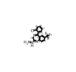 NNC1=Nc2ccc(C(F)(F)F)cc2C(c2ccccc2Cl)=NC1